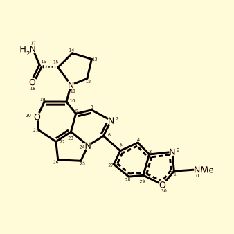 CNc1nc2cc(C3=NC=C4C(N5CCC[C@H]5C(N)=O)=COCC5=C4N3CC5)ccc2o1